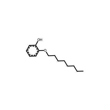 CCC[CH]CCCCOc1ccccc1O